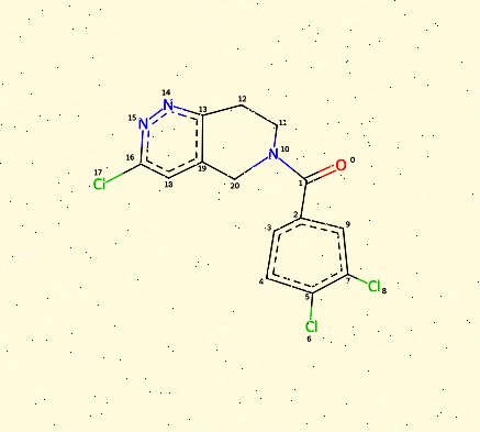 O=C(c1ccc(Cl)c(Cl)c1)N1CCc2nnc(Cl)cc2C1